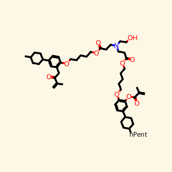 C=C(C)C(=O)Cc1cc(C2CCC(C)CC2)ccc1OCCCCCOC(=O)CCN(CCO)CCC(=O)OCCCCCOc1ccc(C2CCC(CCCCC)CC2)cc1OC(=O)C(=C)C